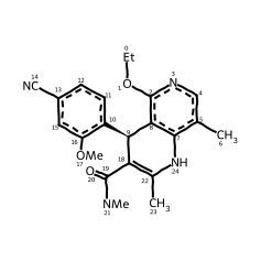 CCOc1ncc(C)c2c1[C@H](c1ccc(C#N)cc1OC)C(C(=O)NC)=C(C)N2